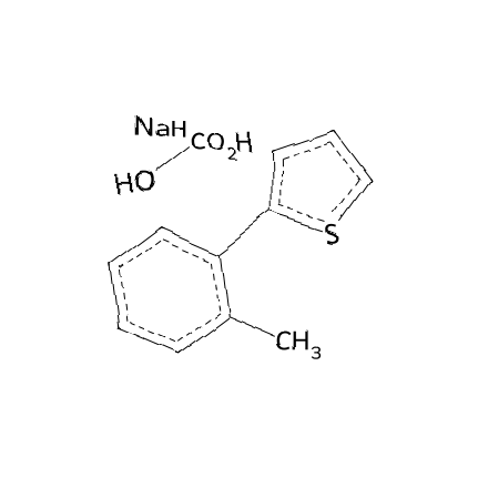 Cc1ccccc1-c1cccs1.O=C(O)O.[NaH]